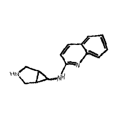 c1ccc2nc(NC3C4CNCC43)ccc2c1